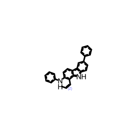 C/C=C\c1c(Nc2ccccc2)ccc2c1[nH]c1ccc(-c3ccccc3)cc12